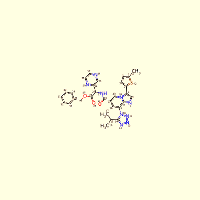 Cc1ccc(-c2cnc3c(-n4nnnc4C(C)C)cc(C(=O)NC(C(=O)OCc4ccccc4)c4cnccn4)cn23)s1